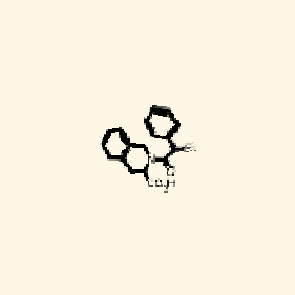 CCC(C(=O)N1CC2=CC=CCC2CC1C(=O)O)c1ccccc1